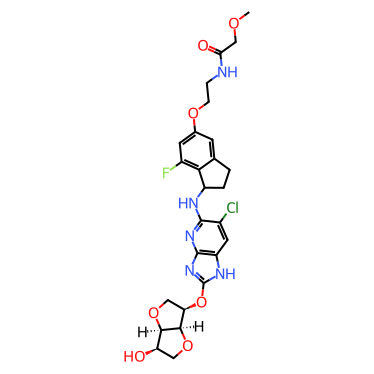 COCC(=O)NCCOc1cc(F)c2c(c1)CCC2Nc1nc2nc(O[C@@H]3CO[C@H]4[C@@H]3OC[C@H]4O)[nH]c2cc1Cl